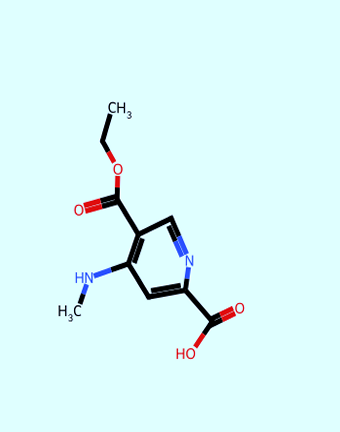 CCOC(=O)c1cnc(C(=O)O)cc1NC